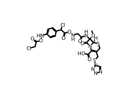 COC1(NC(=O)CNOC(=O)C(Cl)c2ccc(NOC(=O)CCl)cc2)C(=O)N2C(C(=O)O)=C(CSn3cnnn3)CS[C@H]21